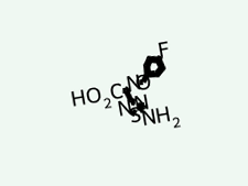 Nc1nc(C(=NOc2ccc(F)cc2)C(=O)O)ns1